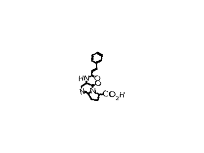 O=C(/C=C/c1ccccc1)Nc1cnc2n(c1=O)C(C(=O)O)CC2